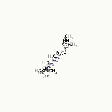 CCNC(=O)[C@H](C)CCCCNC(=O)/C=C(C)/C=C/C=C(C)/C=C/C1=C(C)CCCC1(C)C